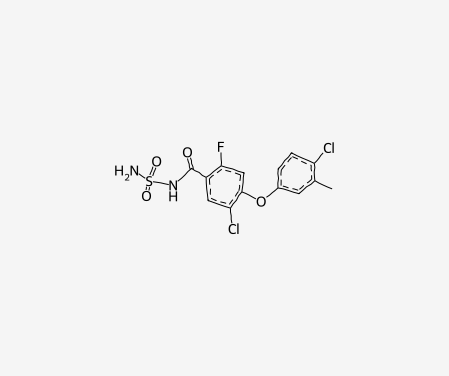 Cc1cc(Oc2cc(F)c(C(=O)NS(N)(=O)=O)cc2Cl)ccc1Cl